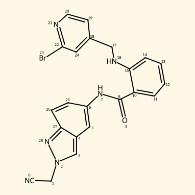 N#CCn1cc2cc(NC(=O)c3ccccc3NCc3ccnc(Br)c3)ccc2n1